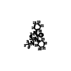 CC(C)(C)N=C1SCN(c2ccccc2)C(=O)N1C1CCCCC1